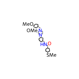 COc1ccc(CN2CCN(c3cccc(CNC(=O)c4ccc(SC)cc4)c3)CC2)c(OC)c1